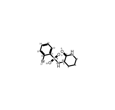 O=C1NCCC[C@H]1NS(=O)(=O)c1ccccc1Br